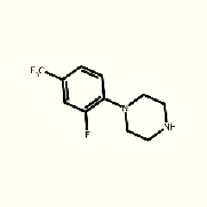 Fc1cc(C(F)(F)F)ccc1N1CCNCC1